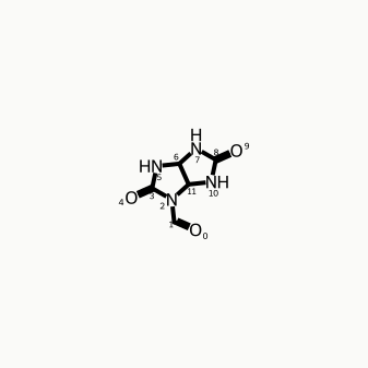 O=CN1C(=O)NC2NC(=O)NC21